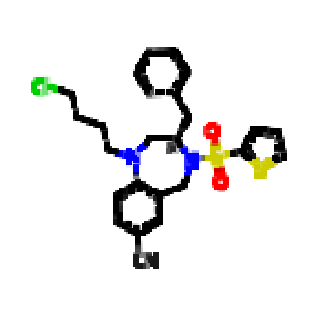 N#Cc1ccc2c(c1)CN(S(=O)(=O)c1cccs1)[C@H](Cc1ccccc1)CN2CCCCCl